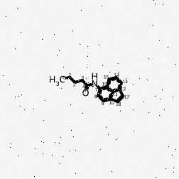 CCCCC(=O)Nc1ccc2c3c(cccc13)C=C2